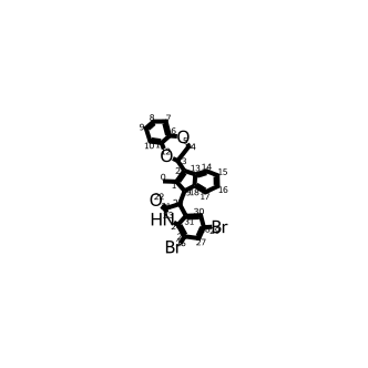 CC1=C(C2COc3ccccc3O2)c2ccccc2C1C1C(=O)Nc2c(Br)cc(Br)cc21